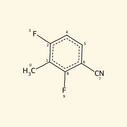 Cc1c(F)ccc(C#N)c1F